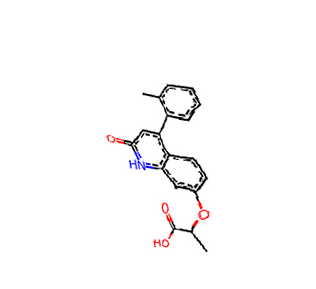 Cc1ccccc1-c1cc(=O)[nH]c2cc(OC(C)C(=O)O)ccc12